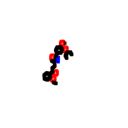 CC=C(CC)Oc1cc(-c2nc(CCC(=O)c3ccccc3OCC)co2)ccc1OC